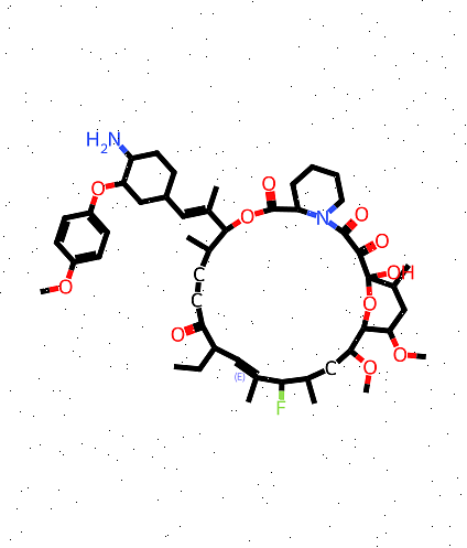 CCC1/C=C(\C)C(F)C(C)CC(OC)C2OC(O)(C(=O)C(=O)N3CCCCC3C(=O)OC(C(C)=CC3CCC(N)C(Oc4ccc(OC)cc4)C3)C(C)CCC1=O)C(C)CC2OC